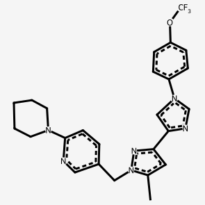 Cc1cc(-c2cn(-c3ccc(OC(F)(F)F)cc3)cn2)nn1Cc1ccc(N2CCCCC2)nc1